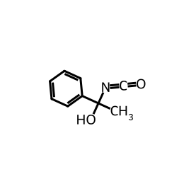 CC(O)(N=C=O)c1ccccc1